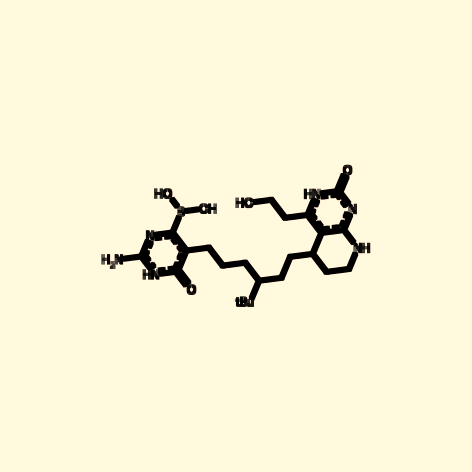 CC(C)(C)C(CCCc1c(B(O)O)nc(N)[nH]c1=O)CCC1CCNc2nc(=O)[nH]c(CCO)c21